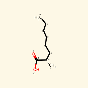 CCCCCC[C@H](C)C(=O)O